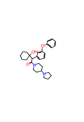 O=C(C(c1cccc(Oc2ccccc2)c1)C1(O)CCCCC1)N1CCC(N2CCCC2)CC1